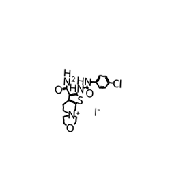 NC(=O)c1c(NC(=O)Nc2ccc(Cl)cc2)sc2c1CC[N+]1(CCOCC1)C2.[I-]